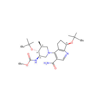 C[C@H]1CN(c2c(C(N)=O)cnc3c2CC[C@H]3O[Si](C)(C)C(C)(C)C)C[C@@H](NC(=O)OC(C)(C)C)[C@@H]1O[Si](C)(C)C(C)(C)C